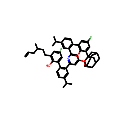 C=CCC(C)CCc1cc(F)cc(-c2ccc(C(C)C)cc2-c2cc(OC)cc(-c3cc(C(C)C)ccc3-c3cc(F)cc(C45CC6CC(CC(C6)C4)C5)c3O)n2)c1O